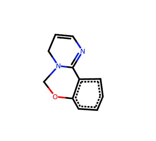 C1=CN=C2c3ccccc3OCN2C1